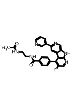 CC(=O)NCCNC(=O)c1ccc(-c2c(F)cnc3[nH]c4cnc(-c5cccnc5)cc4c23)cc1